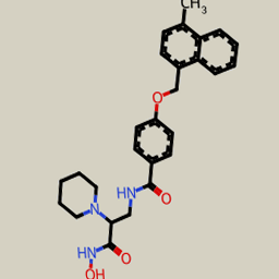 Cc1ccc(COc2ccc(C(=O)NCC(C(=O)NO)N3CCCCC3)cc2)c2ccccc12